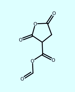 O=COC(=O)C1CC(=O)OC1=O